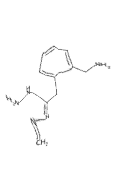 C=N/N=C(/Cc1ccccc1CN)NN